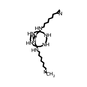 C=NCCCCCCCNC12CNCCNCC(NCCCCCCC3C=N3)(CNCCNC1)CNCCNC2